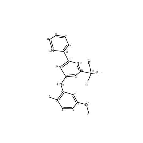 COc1ccc(C)c(Nc2cc(C(F)(F)F)nc(-c3ccccn3)n2)c1